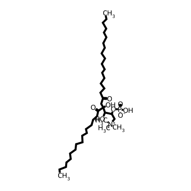 CCCCCCCCCCCCCCCCCC(=O)CC(O)(C(=O)CCCCCCCCCCCCCCC)C(O)C(C[N+](C)(C)C)OP(=O)([O-])O